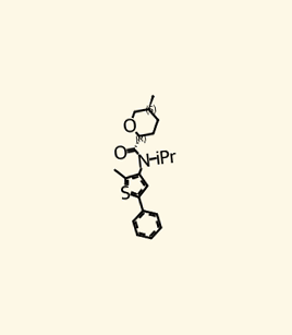 Cc1sc(-c2ccccc2)cc1N(C(=O)[C@H]1CC[C@H](C)CO1)C(C)C